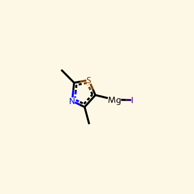 Cc1nc(C)[c]([Mg][I])s1